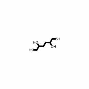 OC(CS)CCC(O)CS